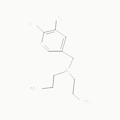 COCCN(CCOC)Cc1cnc(C(C)(C)C)c(C#N)c1